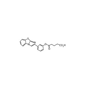 O=C(O)CCCC(=O)Oc1cccc(-c2cn3c(n2)sc2ccccc23)c1